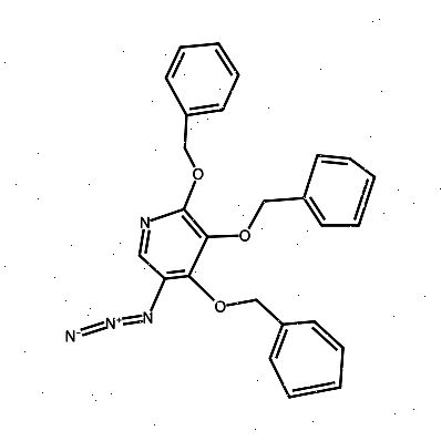 [N-]=[N+]=Nc1cnc(OCc2ccccc2)c(OCc2ccccc2)c1OCc1ccccc1